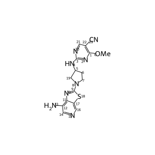 COc1nc(NC2CCN(c3nc4c(N)cncc4s3)C2)ncc1C#N